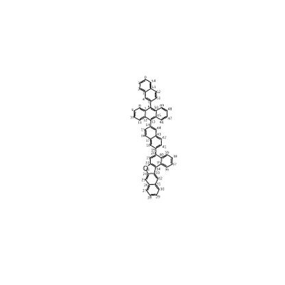 c1ccc2cc(-c3c4ccccc4c(-c4ccc5cc(-c6cc7oc8cc9ccccc9cc8c7c7ccccc67)ccc5c4)c4ccccc34)ccc2c1